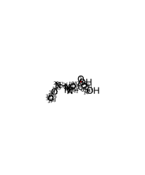 CCC(CC(=O)O)(c1ccc(C)c([C@H](C)O)c1)c1ccc2c(nnn2CCCN(C)CCOCc2ccccc2)c1C